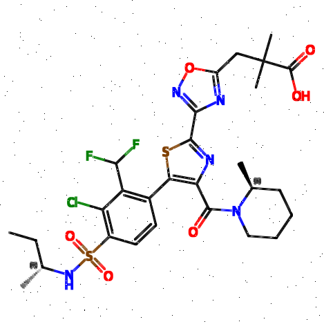 CC[C@@H](C)NS(=O)(=O)c1ccc(-c2sc(-c3noc(CC(C)(C)C(=O)O)n3)nc2C(=O)N2CCCC[C@@H]2C)c(C(F)F)c1Cl